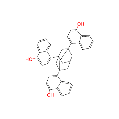 Oc1ccc(C23CC4CC(c5ccc(O)c6ccccc56)(C2)CC(c2ccc(O)c5ccccc25)(C4)C3)c2ccccc12